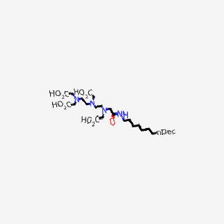 CCCCCCCCCCCCCCCCCNC(=O)CN(CCN(CCN(CC(=O)O)CC(=O)O)CC(=O)O)CC(=O)O